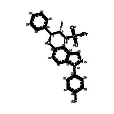 CC(C)S(=O)(=O)N[C@@H](C)[C@@H](Oc1ccc2c(cnn2-c2ccc(F)cc2)c1)c1ccccc1